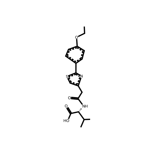 CCOc1ccc(-c2nc(CC(=O)N[C@@H](C(=O)O)C(C)C)cs2)cc1